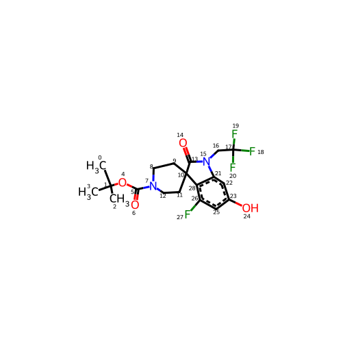 CC(C)(C)OC(=O)N1CCC2(CC1)C(=O)N(CC(F)(F)F)c1cc(O)cc(F)c12